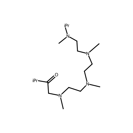 CC(C)C(=O)CN(C)CCN(C)CCN(C)CCN(C)C(C)C